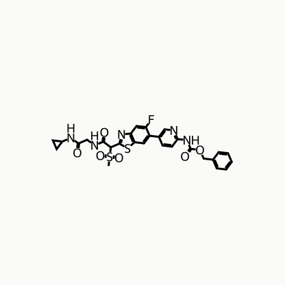 CS(=O)(=O)C(C(=O)NCC(=O)NC1CC1)c1nc2cc(F)c(-c3ccc(NC(=O)OCc4ccccc4)nc3)cc2s1